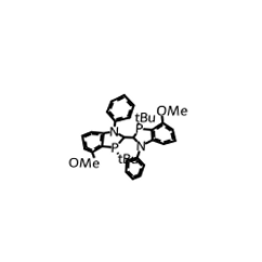 COc1cccc2c1P(C(C)(C)C)C(C1N(c3ccccc3)c3cccc(OC)c3P1C(C)(C)C)N2c1ccccc1